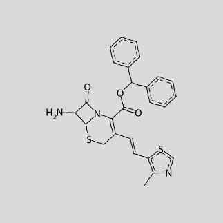 Cc1ncsc1C=CC1=C(C(=O)OC(c2ccccc2)c2ccccc2)N2C(=O)C(N)C2SC1